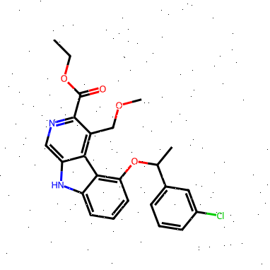 CCOC(=O)c1ncc2[nH]c3cccc(OC(C)c4cccc(Cl)c4)c3c2c1COC